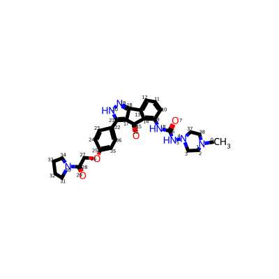 CN1CCN(NC(=O)Nc2cccc3c2C(=O)c2c-3n[nH]c2-c2ccc(OCC(=O)N3CCCC3)cc2)CC1